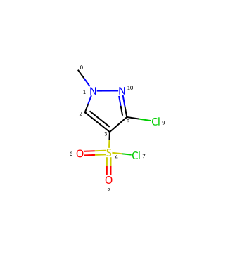 Cn1cc(S(=O)(=O)Cl)c(Cl)n1